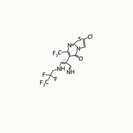 N=C/C(=C\NCC(F)(F)C(F)(F)F)c1c(C(F)(F)F)nc2sc(Cl)cn2c1=O